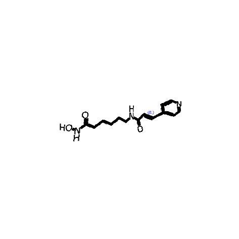 O=C(/C=C/c1ccncc1)NCCCCCC(=O)NO